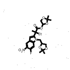 CCC(C)(C(=O)OC1COC(C)(C)O1)c1cc2cc([N+](=O)[O-])c(F)cc2n1CC1COC(C)(C)O1